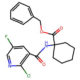 O=C(NC1(C(=O)OCc2ccccc2)CCCCC1)c1cc(F)cnc1Cl